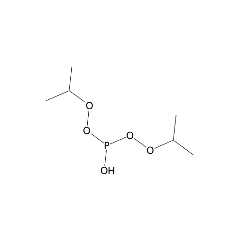 CC(C)OOP(O)OOC(C)C